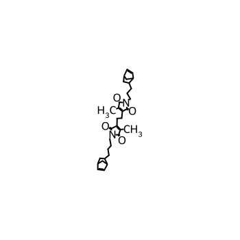 CC1=C(CCC2=C(C)C(=O)N(CCCC3CC4C=CC3C4)C2=O)C(=O)N(CCCCC2CC3C=CC2C3)C1=O